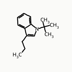 CCCc1cn(C(C)(C)C)c2ccccc12